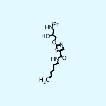 C=CCCCCNC(=O)c1cnc(OCC(O)CNC(C)C)s1